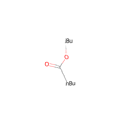 CCCCC(=O)O[C@@H](C)CC